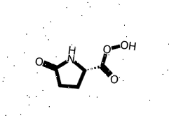 O=C1CC[C@@H](C(=O)OO)N1